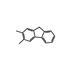 Cc1cc2c(cc1C)-c1ccccc1C2